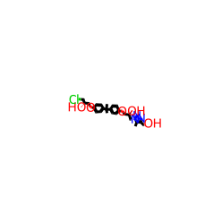 Cc1c(CO)nnn1C[C@H](O)COc1ccc(C(C)(C)c2ccc(OC[C@H](O)CCl)cc2)cc1